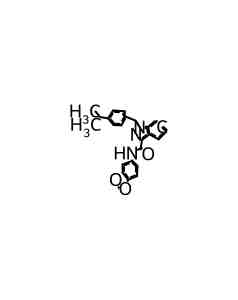 CC(C)c1ccc(Cn2nc(C(=O)Nc3ccc4c(c3)OCO4)c3ccccc32)cc1